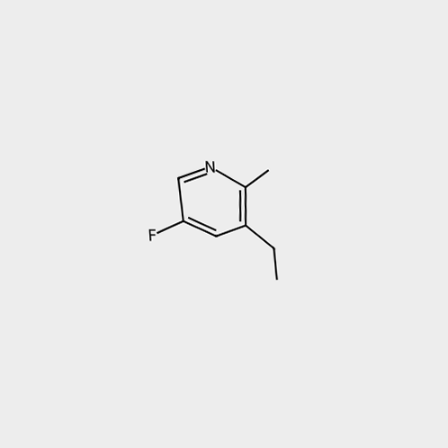 CCc1cc(F)cnc1C